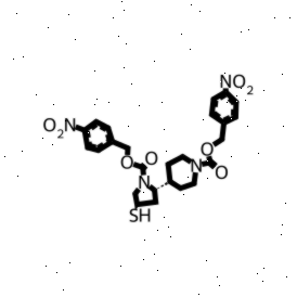 O=C(OCc1ccc([N+](=O)[O-])cc1)N1CCC([C@@H]2C[C@H](S)CN2C(=O)OCc2ccc([N+](=O)[O-])cc2)CC1